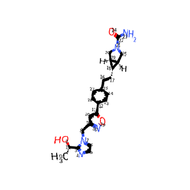 C[C@H](O)c1nccn1Cc1cc(-c2ccc(CC[C@@H]3[C@H]4CN(C(N)=O)C[C@@H]34)cc2)on1